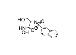 O=C(NO)C(CO)NS(=O)(=O)c1ccc2ccccc2c1